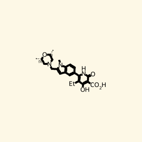 CCc1c(-c2ccc3c(c2)cc(CN2C[C@@H](C)O[C@@H](C)C2)n3C)[nH]c(=O)c(C(=O)O)c1O